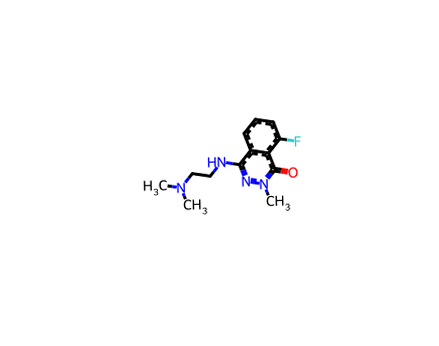 CN(C)CCNc1nn(C)c(=O)c2c(F)cccc12